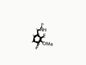 COc1c(F)ccc(CNI)c1F